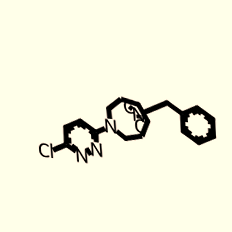 Clc1ccc(N2CC3CCC(CN(Cc4ccccc4)C3)C2)nn1